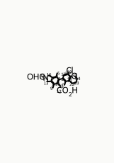 Cc1c(-c2c(C)c3c(c(C)c2CC(=O)O)CN(C=O)C3)cc(Cl)c2c1CCCO2